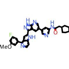 COc1cc(F)cc(-c2nccc3[nH]c(-c4n[nH]c5ncc(-c6cncc(NC(=O)CC7CCCCC7)c6)cc45)cc23)c1